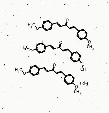 COc1ccc(C=CC(=O)C=Cc2ccc(OC)cc2)cc1.COc1ccc(C=CC(=O)C=Cc2ccc(OC)cc2)cc1.COc1ccc(C=CC(=O)C=Cc2ccc(OC)cc2)cc1.[Pd].[Pd]